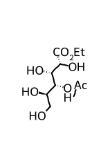 CC(C)=O.CCOC(=O)[C@H](O)[C@@H](O)[C@H](O)[C@H](O)CO